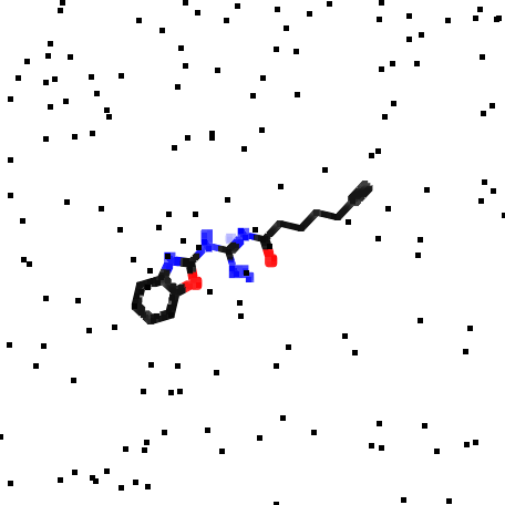 C#CCCCCC(=O)/N=C(\N)Nc1nc2ccccc2o1